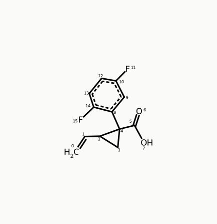 C=CC1CC1(C(=O)O)c1cc(F)ccc1F